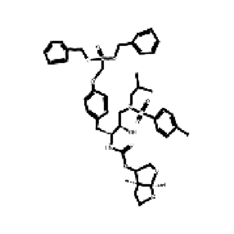 CC(C)CN(C[C@@H](O)[C@H](Cc1ccc(OCP(=O)(OCc2ccccc2)OCc2ccccc2)cc1)NC(=O)OC1CO[C@H]2OCC[C@@H]12)S(=O)(=O)c1ccc(F)cc1